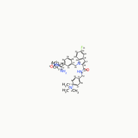 CC(=O)O.CC(=O)[O-].C[N+](C)(C)c1ccc(CNC(=O)c2cc3cc(F)ccc3n2Cc2cccc(C(=N)N)c2)cc1